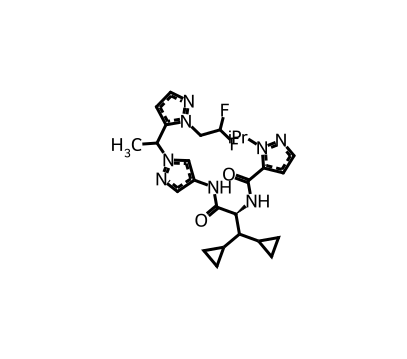 CC(c1ccnn1CC(F)F)n1cc(NC(=O)[C@@H](NC(=O)c2ccnn2C(C)C)C(C2CC2)C2CC2)cn1